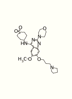 COc1cc2c(NC3CCS(=O)(=O)CC3)nc(N3CCOCC3)nc2cc1OCCCN1CCCC1